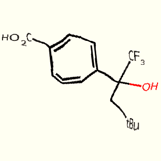 CC(C)(C)CC(O)(c1ccc(C(=O)O)cc1)C(F)(F)F